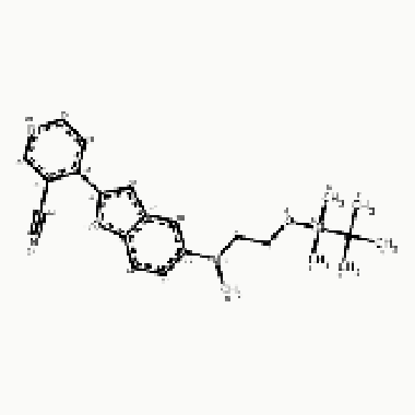 CN(CCO[Si](C)(C)C(C)(C)C)c1ccc2oc(-c3ccncc3C#N)cc2c1